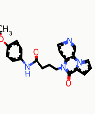 COc1ccc(NC(=O)CCCn2c(=O)c3cccn3c3cnccc32)cc1